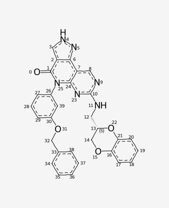 O=c1c2c[nH]nc2c2cnc(NC[C@H]3COc4ccccc4O3)nc2n1-c1cccc(OCc2ccccc2)c1